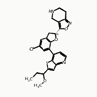 CCC(OC)c1cc2nccc(-c3cc(Cl)cc4c3O[C@@H](c3onc5c3CNCC5)C4)c2s1